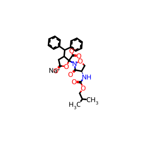 CC(C)COC(=O)N[C@H]1CON(C2(C(=O)[O-])OC(=O)CC2C(c2ccccc2)c2ccccc2)C1=O.[Na+]